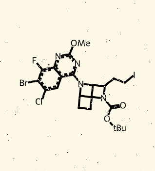 COc1nc(N2C3CCC34C2C(CCI)N4C(=O)OC(C)(C)C)c2cc(Cl)c(Br)c(F)c2n1